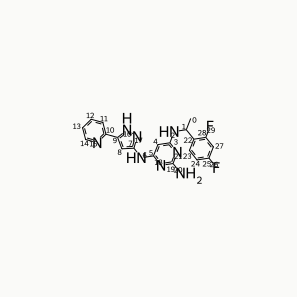 CC(Nc1cc(Nc2cc(-c3ccccn3)[nH]n2)nc(N)n1)c1ccc(F)cc1F